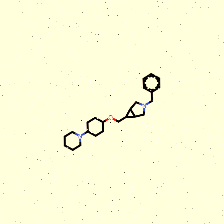 c1ccc(CN2CC3C(COC4CCC(N5CCCCC5)CC4)C3C2)cc1